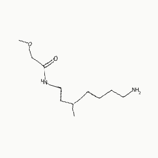 COCC(=O)NCCC(C)CCCCN